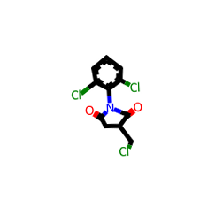 O=C1CC(CCl)C(=O)N1c1c(Cl)cccc1Cl